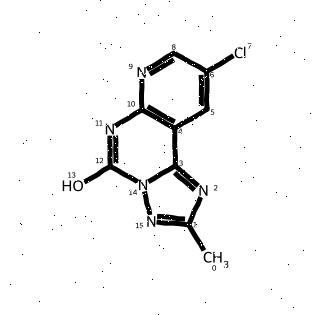 Cc1nc2c3cc(Cl)cnc3nc(O)n2n1